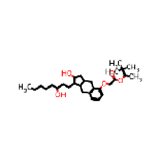 CCCCCC(O)CCC1C(O)CC2Cc3c(cccc3OCC(=O)OC(C)C(C)(C)C)CC21